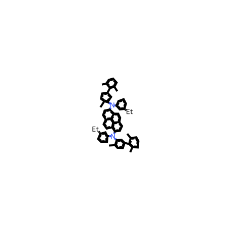 CCc1cccc(N(c2cc(-c3c(C)cccc3C)ccc2C)c2ccc3ccc4c(N(c5cccc(CC)c5)c5cc(-c6c(C)cccc6C)ccc5C)ccc5ccc2c3c54)c1